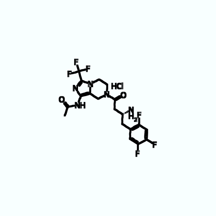 CC(=O)Nc1nc(C(F)(F)F)n2c1CN(C(=O)C[C@H](N)Cc1cc(F)c(F)cc1F)CC2.Cl